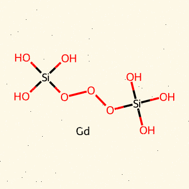 O[Si](O)(O)OOO[Si](O)(O)O.[Gd]